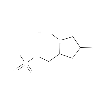 CS(=O)(=O)OCC1CC(C(F)(F)F)CN1C(=O)O